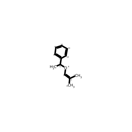 CC(C)=COC(C)c1ccccc1